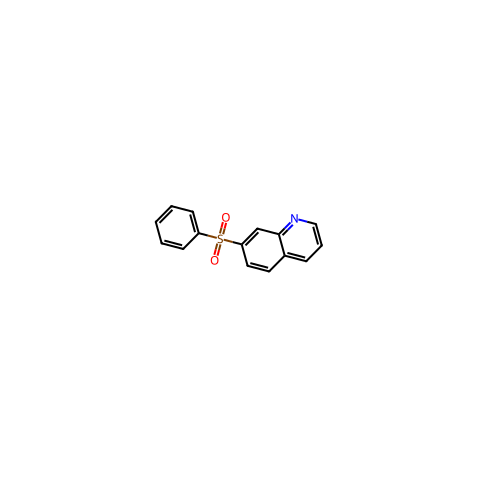 O=S(=O)(c1ccccc1)c1ccc2cccnc2c1